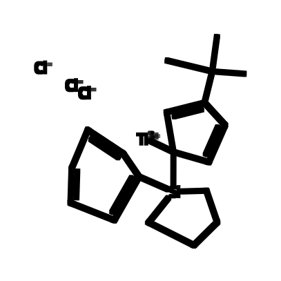 CC(C)(C)C1=C[C]([Ti+3])([Si]2(c3ccccc3)CCCC2)C=C1.[Cl-].[Cl-].[Cl-]